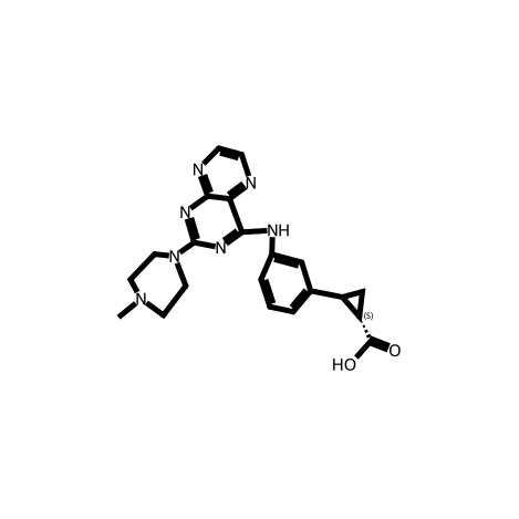 CN1CCN(c2nc(Nc3cccc(C4C[C@@H]4C(=O)O)c3)c3nccnc3n2)CC1